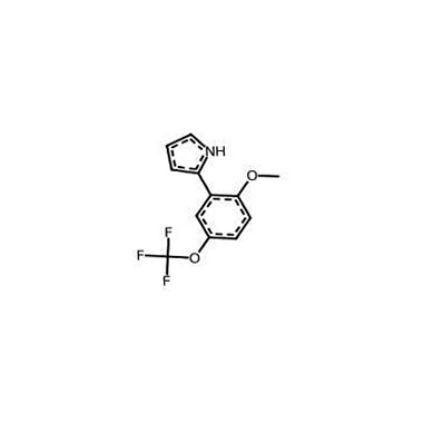 COc1ccc(OC(F)(F)F)cc1-c1ccc[nH]1